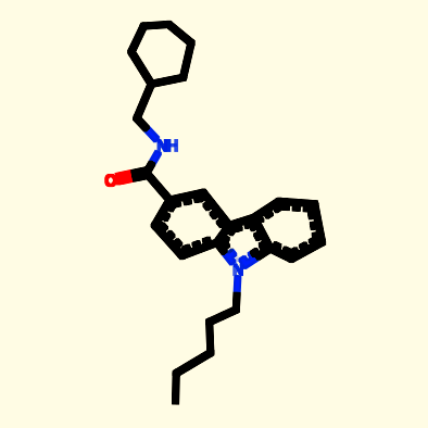 CCCCCn1c2ccccc2c2cc(C(=O)NCC3CCCCC3)ccc21